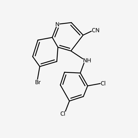 N#Cc1cnc2ccc(Br)cc2c1Nc1ccc(Cl)cc1Cl